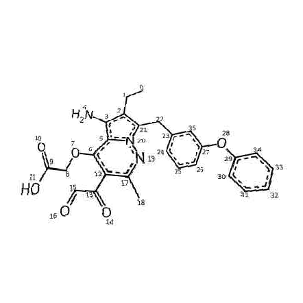 CCc1c(N)c2c(OCC(=O)O)c(C(=O)[C]=O)c(C)nn2c1Cc1cccc(Oc2ccccc2)c1